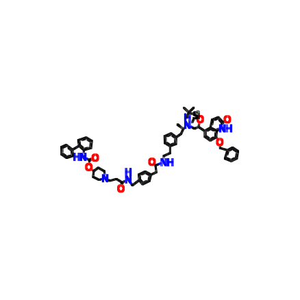 C[C@H](Cc1cccc(CCNC(=O)Cc2ccc(CNC(=O)CCN3CCC(OC(=O)Nc4ccccc4-c4ccccc4)CC3)cc2)c1)NC[C@@H](O[Si](C)(C)C(C)(C)C)c1ccc(OCc2ccccc2)c2[nH]c(=O)ccc12